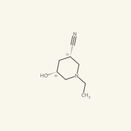 CCN1C[C@H](O)C[C@H](C#N)C1